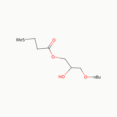 CCCCOCC(O)COC(=O)CCSC